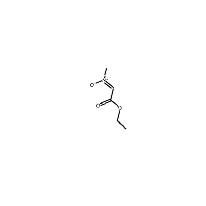 CCOC(=O)C=[N+](C)[O-]